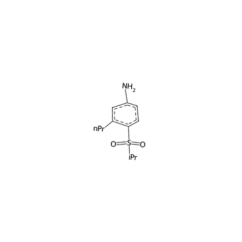 CCCc1cc(N)ccc1S(=O)(=O)C(C)C